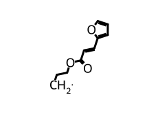 [CH2]CCOC(=O)C=Cc1ccco1